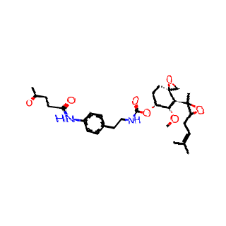 CO[C@H]1[C@H](C2(C)OC2CC=C(C)C)[C@]2(CC[C@H]1OC(=O)NCCc1ccc(NC(=O)CCC(C)=O)cc1)CO2